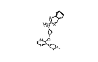 CN1CCN(c2nccnc2O[C@H]2C[C@H](Nc3ncc4ccccc4n3)C2)CC1